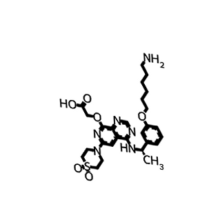 C[C@@H](Nc1ncnc2c(OCC(=O)O)nc(N3CCS(=O)(=O)CC3)cc12)c1cccc(OCCCCCCN)c1